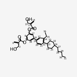 C=C(CO)C(=O)Oc1cc(OC(=O)C(=C)CO)cc(-c2ccc(C3CCC(CCCCC)CC3)c(CC)c2)c1